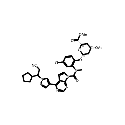 COC(=O)[C@@H]1C[C@H](OC(C)=O)C[C@H](Oc2ccc(Cl)cc2N(C)C(=O)n2ccc3c(-c4cnn(C(CC#N)C5CCCC5)c4)ncnc32)O1